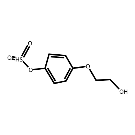 O=[SH](=O)Oc1ccc(OCCO)cc1